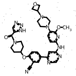 COc1nc(Nc2cc(-c3ccc(OC4CCN(C(=O)c5cnn[nH]5)CC4)c(C#N)c3)ncn2)ccc1N1CCN(C2COC2)CC1